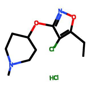 CCc1onc(OC2CCN(C)CC2)c1Cl.Cl